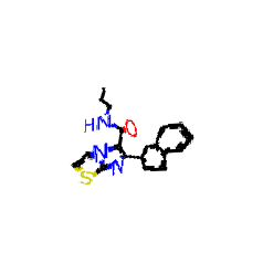 CCCNC(=O)c1c(-c2ccc3ccccc3c2)nc2sccn12